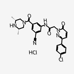 C[C@@H]1CN(C(=O)c2cc(C#N)cc(NC(=O)Cn3nc(-c4ccc(Cl)cc4)ccc3=O)c2)C[C@H](C)N1.Cl